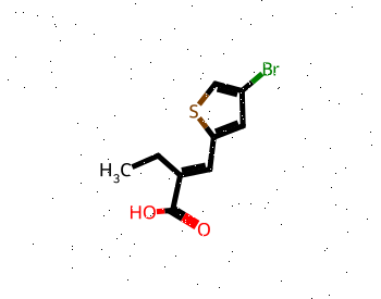 CC/C(=C\c1cc(Br)cs1)C(=O)O